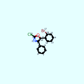 Clc1nc(-c2ccccc2)c(-c2ccccc2Br)o1